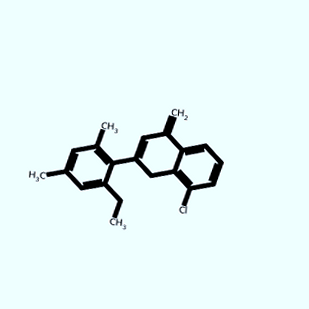 C=C1C=C(c2c(C)cc(C)cc2CC)Cc2c(Cl)cccc21